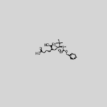 CC(C)(C)C(NC(=O)OCc1ccccc1)P(=O)(O)CC(CCCC(=O)O)C(=O)O